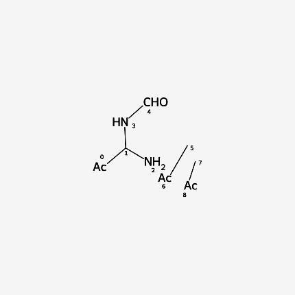 CC(=O)C(N)NC=O.CC(C)=O.CC(C)=O